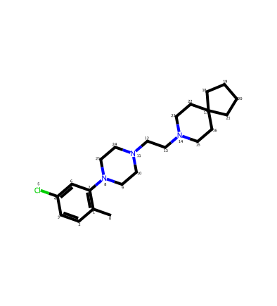 Cc1ccc(Cl)cc1N1CCN(CCN2CCC3(CCCC3)CC2)CC1